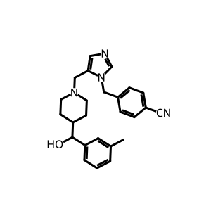 Cc1cccc(C(O)C2CCN(Cc3cncn3Cc3ccc(C#N)cc3)CC2)c1